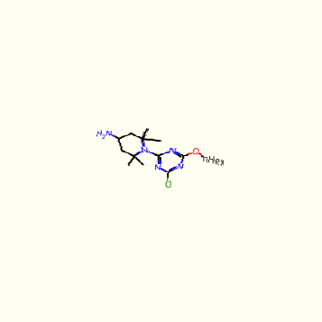 CCCCCCOc1nc(Cl)nc(N2C(C)(C)CC(N)CC2(C)C)n1